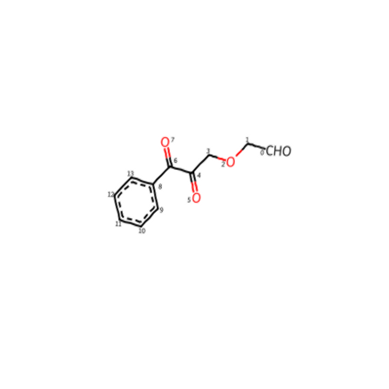 O=CCOCC(=O)C(=O)c1ccccc1